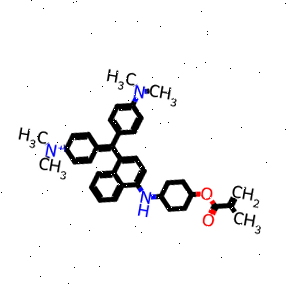 C=C(C)C(=O)OC1CCC(Nc2ccc(C(=C3C=CC(=[N+](C)C)C=C3)c3ccc(N(C)C)cc3)c3ccccc23)CC1